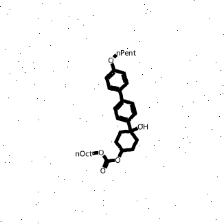 CCCCCCCCOC(=O)OC1CCC(O)(c2ccc(-c3ccc(OCCCCC)cc3)cc2)CC1